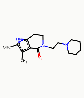 Cc1c(C=O)[nH]c2c1C(=O)N(CCN1CCCCC1)CC2